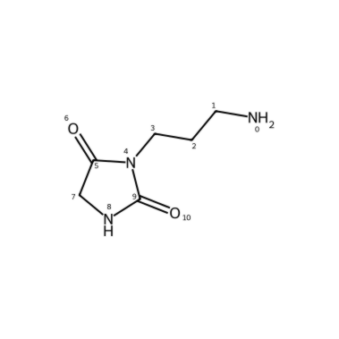 NCCCN1C(=O)CNC1=O